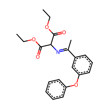 CCOC(=O)C(N=C(C)c1cccc(Oc2ccccc2)c1)C(=O)OCC